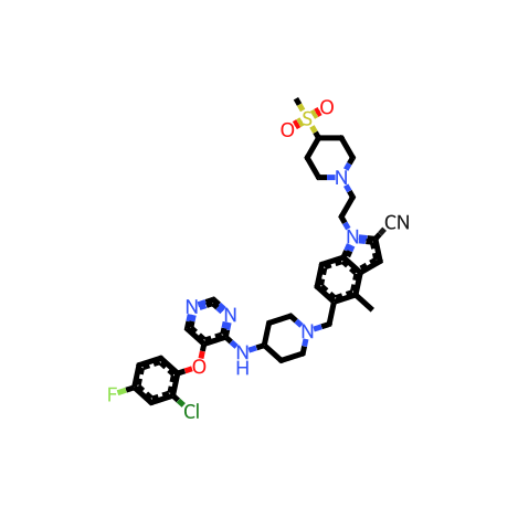 Cc1c(CN2CCC(Nc3ncncc3Oc3ccc(F)cc3Cl)CC2)ccc2c1cc(C#N)n2CCN1CCC(S(C)(=O)=O)CC1